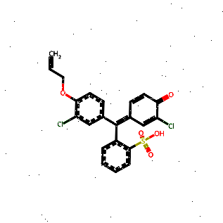 C=CCOc1ccc(/C(=C2\C=CC(=O)C(Cl)=C2)c2ccccc2S(=O)(=O)O)cc1Cl